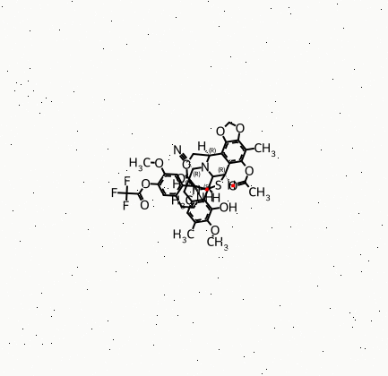 COc1cc2c(cc1OC(=O)C(F)(F)F)CCN[C@]21CS[C@@H]2c3c(OC(C)=O)c(C)c4c(c3[C@H](COC1=O)N1C2[C@@H]2c3c(cc(C)c(OC)c3O)C[C@@H]([C@@H]1C#N)N2C)OCO4